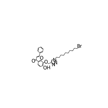 O=c1cc(-c2ccccc2)oc2c(OCc3cn(CCCCCCCCCCBr)nn3)c(O)ccc12